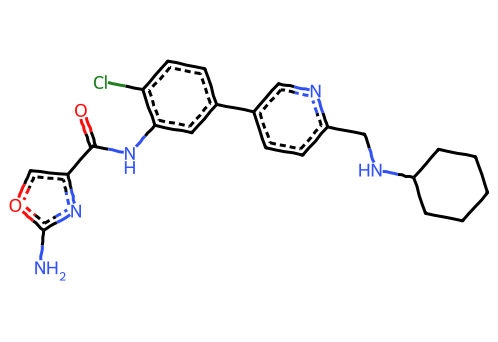 Nc1nc(C(=O)Nc2cc(-c3ccc(CNC4CCCCC4)nc3)ccc2Cl)co1